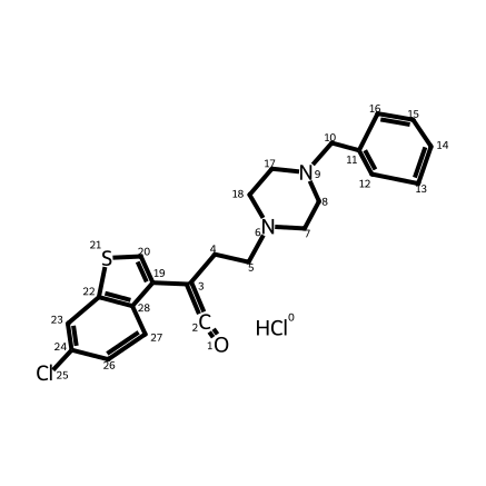 Cl.O=C=C(CCN1CCN(Cc2ccccc2)CC1)c1csc2cc(Cl)ccc12